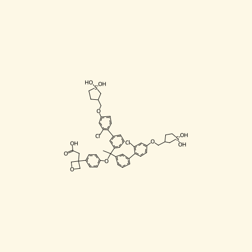 CC(Oc1ccc(C2(CC(=O)O)COC2)cc1)(c1cccc(-c2ccc(OCC3CCS(O)(O)C3)cc2Cl)c1)c1cccc(-c2ccc(OCC3CCS(O)(O)C3)cc2Cl)c1